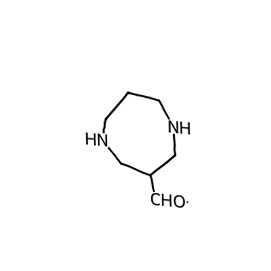 O=[C]C1CNCCCNC1